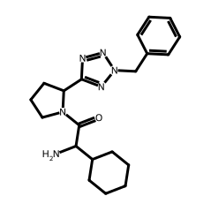 NC(C(=O)N1CCCC1c1nnn(Cc2ccccc2)n1)C1CCCCC1